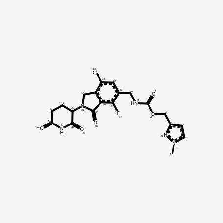 Cn1ccc(COC(=O)NCc2cc(Cl)c3c(c2F)C(=O)N(C2CCC(=O)NC2=O)C3)n1